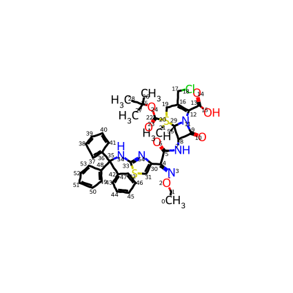 CCON=C(C(=O)NC1C(=O)N2C(C(=O)O)=C(CCl)CS(C)(C(=O)OC(C)(C)C)[C@@H]12)c1csc(NC(c2ccccc2)(c2ccccc2)c2ccccc2)n1